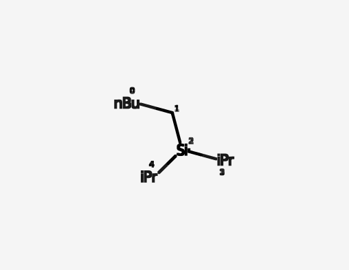 CCCCC[Si](C(C)C)C(C)C